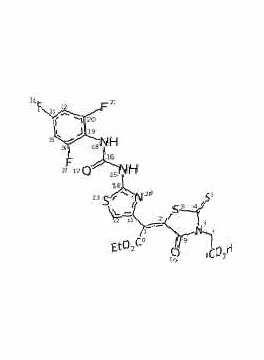 CCOC(=O)C(=C1SC(=S)N(CC(=O)O)C1=O)c1csc(NC(=O)Nc2c(F)cc(F)cc2F)n1